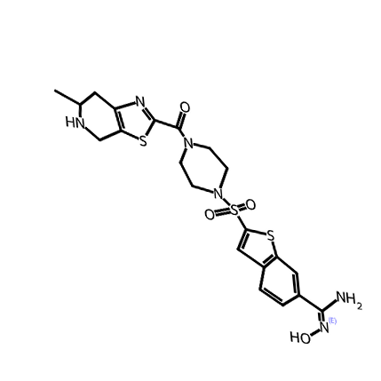 CC1Cc2nc(C(=O)N3CCN(S(=O)(=O)c4cc5ccc(/C(N)=N\O)cc5s4)CC3)sc2CN1